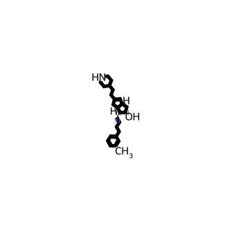 Cc1cccc(CC/C=C/[C@@H]2[C@H]3CC(CCC4CCNCC4)=C[C@H]3C[C@H]2O)c1